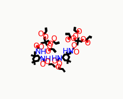 C=CC(=O)OCC(COC(=O)C=C)(COC(=O)C=C)COC(=O)NCC1(C)CC(NC(=O)OCC(COCCC)OC(=O)NC2CC(C)(C)CC(C)(CNC(=O)OCC(COC(=O)C=C)(COC(=O)C=C)COC(=O)C=C)C2)CC(C)(C)C1